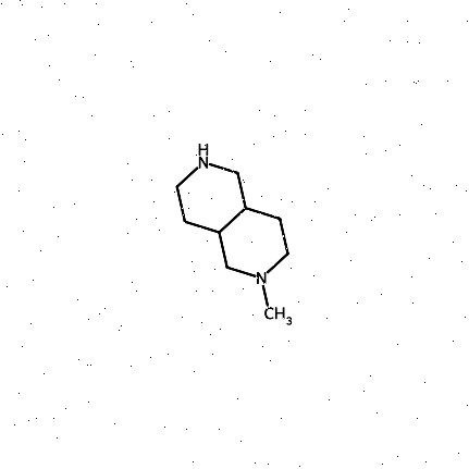 CN1CCC2CNCCC2C1